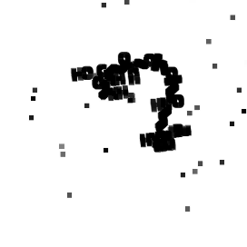 CC(N)C(=O)N[C@@H](CCC(=O)NCCOC(C)(C)CCOC(C)(C)CCC(=O)NCCCC[C@H](NC(C)(C)C)C(=O)C(C)(C)C)C(=O)O